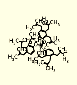 C=C(C)Cc1ccc(OB(Oc2ccc(CC(=C)C)c(CC(=C)C)c2CC(=C)C)Oc2ccc(CC(=C)C)c(CC(=C)C)c2CC(=C)C)c(CC(=C)C)c1CC(=C)C